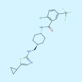 O=C(N[C@H]1CC[C@H](CNc2ncc(C3CC3)s2)CC1)c1cc(C(F)(F)F)ccc1Cl